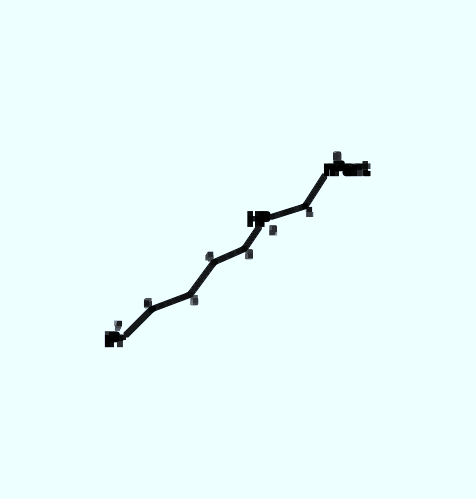 CCCCCCPCCCCC(C)C